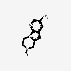 CCN1CCn2c(cc3cc(C(F)(F)F)cnc32)C1